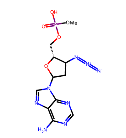 COP(=O)(O)OC[C@H]1OC(n2cnc3c(N)ncnc32)CC1N=[N+]=[N-]